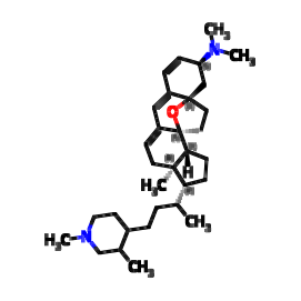 CC1CN(C)CCC1CCC(C)[C@H]1CC[C@@H]2[C@]1(C)CC=C1C=C3C=C[C@@H](N(C)C)C[C@]34CC[C@@]12O4